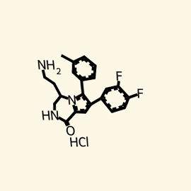 Cc1cccc(-c2c(-c3ccc(F)c(F)c3)cc3n2C(CCN)CNC3=O)c1.Cl